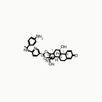 C[C@H](Nc1ccc([C@@H]2O[C@@H]3CC4[C@@H]5CCC6=CC(=O)C=C[C@]6(C)[C@@]5(F)[C@@H](O)C[C@]4(C)[C@]3(C(=O)CO)O2)cn1)c1ccc(N)cc1